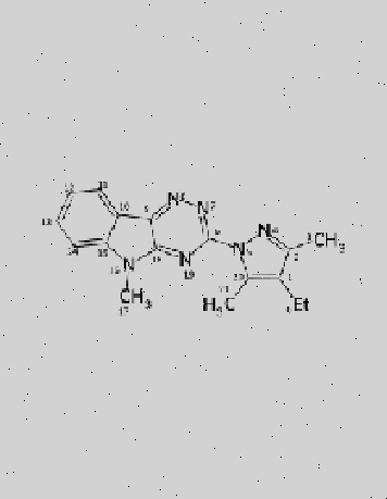 CCc1c(C)nn(-c2nnc3c4ccccc4n(C)c3n2)c1C